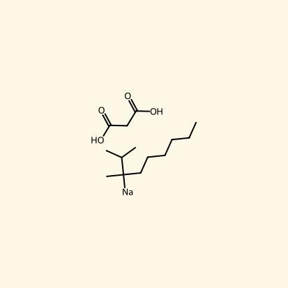 CCCCCC[C](C)([Na])C(C)C.O=C(O)CC(=O)O